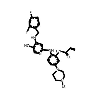 C=CC(=O)Nc1cc(N2CCN(CC)CC2)ccc1Nc1cc(NCc2ccc(F)cc2F)c(C#N)cn1